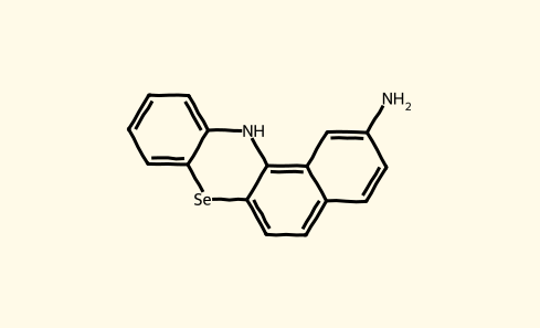 Nc1ccc2ccc3c(c2c1)Nc1ccccc1[Se]3